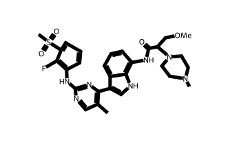 COCC(C(=O)Nc1cccc2c(-c3nc(Nc4cccc(S(C)(=O)=O)c4F)ncc3C)c[nH]c12)N1CCN(C)CC1